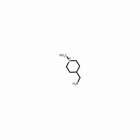 NCC1CC[SH](C(=O)O)CC1